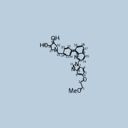 COCCOc1ccc2c(c1)ncn2-c1ccc2cccc(-c3ccc(CN4CC(O)C(O)C4)cc3)c2n1